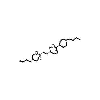 C=CCC[C@H]1CO[C@H](CC[C@H]2CO[C@H](C3CCC(CCCC)CC3)OC2)OC1